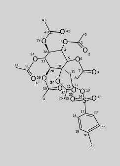 CC(=O)OC1C(OC(C)=O)[C@@](CCOS(=O)(=O)c2ccc(C)cc2)(OC(C)=O)[C@@H](OC(C)=O)C(OC(C)=O)[C@H]1OC(C)=O